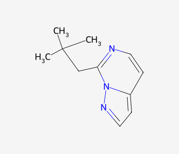 CC(C)(C)Cc1nccc2ccnn12